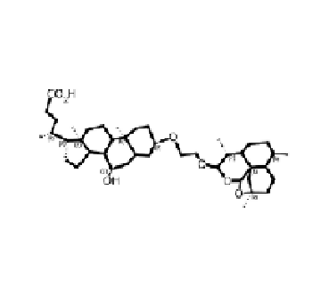 C[C@H]1C(OCCO[C@@H]2CC[C@@]3(C)C(C2)C[C@H](O)C2C3CC[C@@]3(C)C2CC[C@@H]3[C@H](C)CCC(=O)O)OC2O[C@]3(C)CCC4[C@H](C)CCC1[C@@]24C3